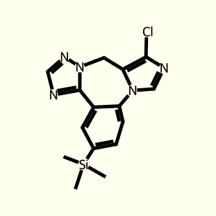 C[Si](C)(C)c1ccc2c(c1)-c1ncnn1Cc1c(Cl)ncn1-2